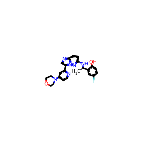 C[C@@H](Nc1ccc2ncc(-c3cc(N4CCOCC4)ccn3)n2n1)c1cc(F)ccc1O